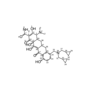 CN(C)C1C(O)=C(C(N)=O)C(=O)C2(O)C(O)=C3C(=O)c4c(O)ccc(CN(CC5CC5)CC5CC5)c4CC3CC12